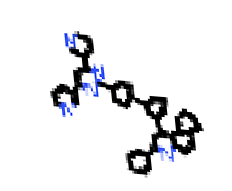 c1ccc(-c2cc(-c3cccc(-c4ccc(-c5nc(-c6cccnc6)cc(-c6cccnc6)n5)cc4)c3)c3c(ccc4ccccc43)n2)cc1